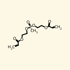 C=CC(=O)OCCOP(C)(=O)OCCOC(=O)C=C